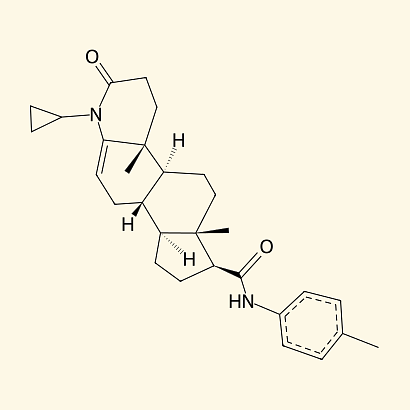 Cc1ccc(NC(=O)[C@H]2CC[C@H]3[C@@H]4CC=C5N(C6CC6)C(=O)CC[C@]5(C)[C@H]4CC[C@]23C)cc1